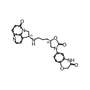 O=C1COc2ccc(N3C[C@@H](CCCN[C@@H]4Cn5c(=O)ccc6nccc4c65)OC3=O)cc2N1